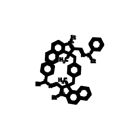 CCN(N=CC1=[N+](CC)c2ccc3ccccc3c2C1(C)Cc1ccc(CC2(C)C(C=NN(CC)c3ccccc3)=[N+](CC)c3ccc4ccccc4c32)cc1)c1ccccc1